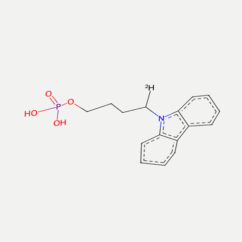 [2H]C(CCCOP(=O)(O)O)n1c2ccccc2c2ccccc21